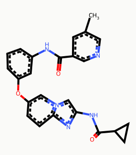 Cc1cncc(C(=O)Nc2cccc(Oc3ccc4nc(NC(=O)C5CC5)cn4c3)c2)c1